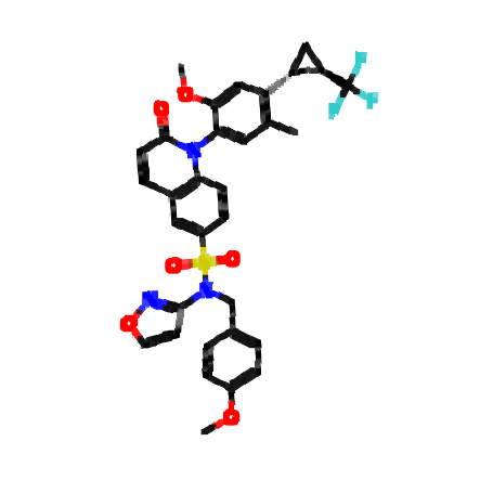 COc1ccc(CN(c2ccon2)S(=O)(=O)c2ccc3c(ccc(=O)n3-c3cc(C)c([C@@H]4C[C@H]4C(F)(F)F)cc3OC)c2)cc1